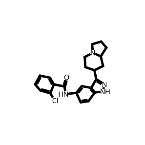 O=C(Nc1ccc2[nH]nc(C3CCN4CCCC4C3)c2c1)c1ccccc1Cl